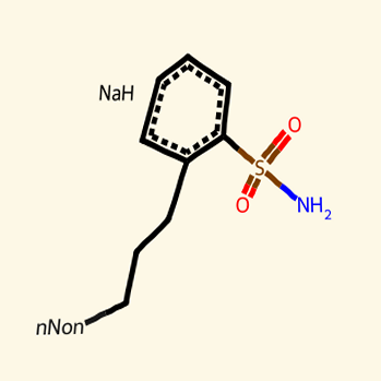 CCCCCCCCCCCCc1ccccc1S(N)(=O)=O.[NaH]